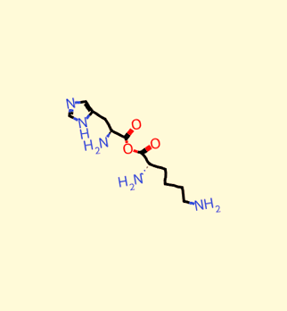 NCCCC[C@H](N)C(=O)OC(=O)[C@@H](N)Cc1cnc[nH]1